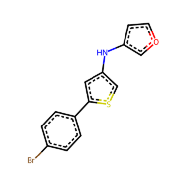 Brc1ccc(-c2cc(Nc3ccoc3)cs2)cc1